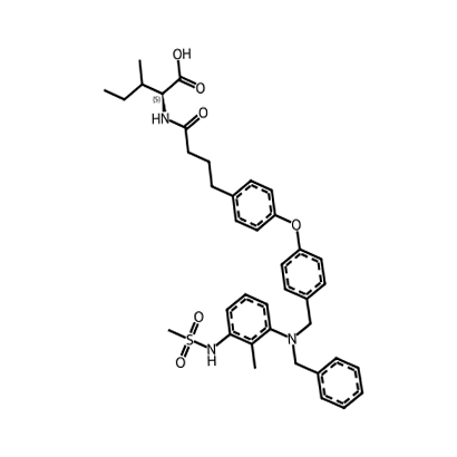 CCC(C)[C@H](NC(=O)CCCc1ccc(Oc2ccc(CN(Cc3ccccc3)c3cccc(NS(C)(=O)=O)c3C)cc2)cc1)C(=O)O